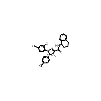 C[C@H]1C(C(=O)NC2CCCc3ccccc32)=NN(c2ccc(Cl)cc2Cl)[C@H]1c1ccc(Cl)cc1